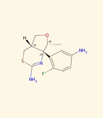 C[C@H]1OC[C@H]2CSC(N)=N[C@]21c1cc(N)ccc1F